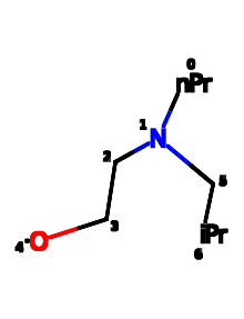 CCCN(CC[O])CC(C)C